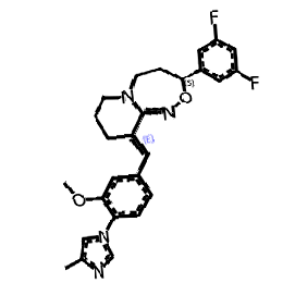 COc1cc(/C=C2\CCCN3CC[C@@H](c4cc(F)cc(F)c4)ON=C23)ccc1-n1cnc(C)c1